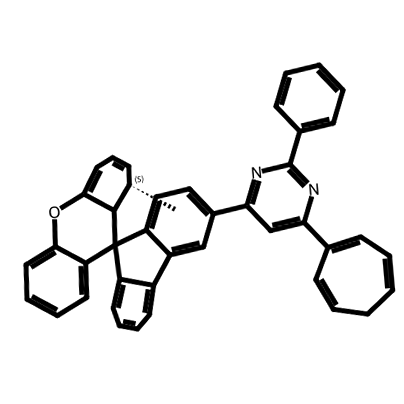 C[C@H]1C=CC=C2Oc3ccccc3C3(c4ccccc4-c4cc(-c5cc(C6=CC=CCC=C6)nc(-c6ccccc6)n5)ccc43)C21